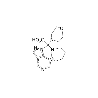 O=C(O)C(N1CCCCC1)(N1CCOCC1)n1ncc2cncnc21